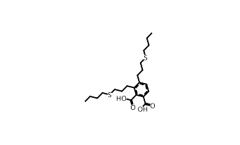 CCCCSCCCc1ccc(C(=O)O)c(C(=O)O)c1CCCSCCCC